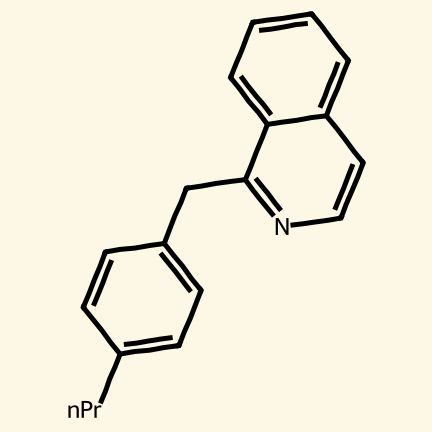 CCCc1ccc(Cc2nccc3ccccc23)cc1